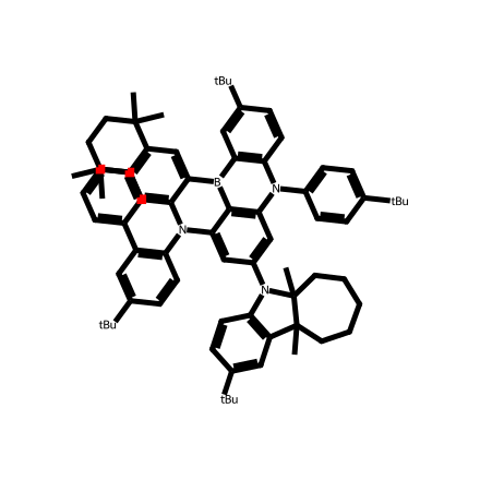 CC(C)(C)c1ccc(N2c3ccc(C(C)(C)C)cc3B3c4cc5c(cc4N(c4ccc(C(C)(C)C)cc4-c4ccccc4)c4cc(N6c7ccc(C(C)(C)C)cc7C7(C)CCCCCC67C)cc2c43)C(C)(C)CCC5(C)C)cc1